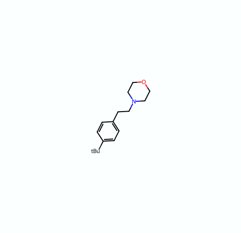 CC(C)(C)c1ccc(CCN2CCOCC2)cc1